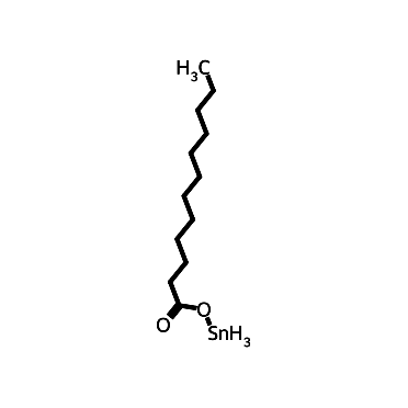 CCCCCCCCCCCC(=O)[O][SnH3]